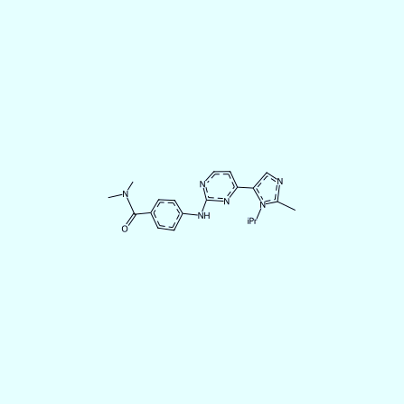 Cc1ncc(-c2ccnc(Nc3ccc(C(=O)N(C)C)cc3)n2)n1C(C)C